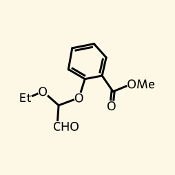 CCOC(C=O)Oc1ccccc1C(=O)OC